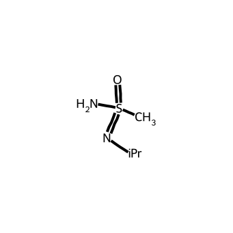 CC(C)N=S(C)(N)=O